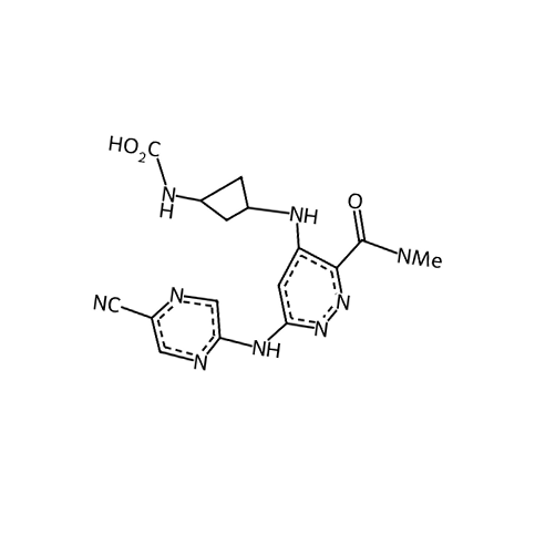 CNC(=O)c1nnc(Nc2cnc(C#N)cn2)cc1NC1CC(NC(=O)O)C1